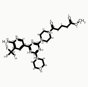 COC(=O)CCCC(=O)N1CCN(c2nc(-c3cnc(N)c(C(F)(F)F)c3)nc(N3CCOCC3)n2)CC1